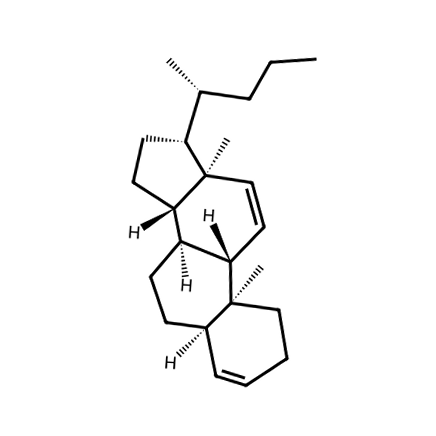 CCC[C@@H](C)[C@H]1CC[C@H]2[C@@H]3CC[C@@H]4C=CCC[C@]4(C)[C@H]3C=C[C@]12C